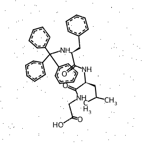 CC(C)C[C@H](NC(=O)[C@H](Cc1ccccc1)NC(c1ccccc1)(c1ccccc1)c1ccccc1)C(=O)NCC(=O)O